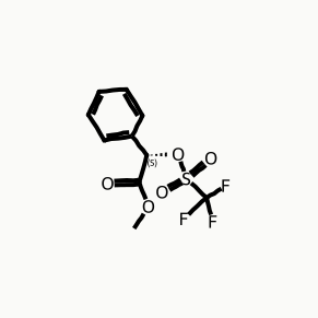 COC(=O)[C@@H](OS(=O)(=O)C(F)(F)F)c1ccccc1